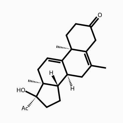 CC(=O)[C@@]1(O)CC[C@H]2[C@@H]3CC(C)=C4CC(=O)CC[C@]4(C)C3=CC[C@@]21C